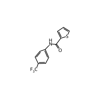 O=C(Nc1ccc(C(F)(F)F)cc1)c1cccs1